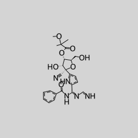 COC(C)(C)C(=O)O[C@H]1[C@@H](O)[C@](C#N)(c2ccc(/C(=N\C=N)NC(=O)c3ccccc3)[nH]2)O[C@@H]1CO